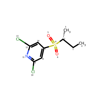 CC[C@@H](C)S(=O)(=O)c1cc(Cl)nc(Cl)c1